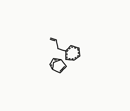 C1=CC2=CC=C1C2.C=CCc1ccccc1